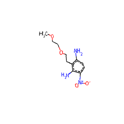 COCCOCCc1c(N)ccc([N+](=O)[O-])c1N